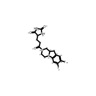 O=C1NC(=O)C(CCC(=O)N2CCN3c4cc(F)c(F)cc4CC3C2)N1